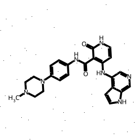 CN1CCN(c2ccc(NC(=O)c3c(Nc4cncc5[nH]ccc45)cc[nH]c3=O)cc2)CC1